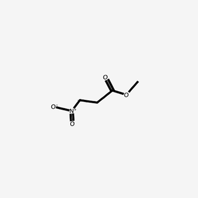 COC(=O)C[CH][N+](=O)[O-]